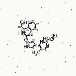 CCONc1ncc(C)c(-c2c[nH]c(OC(=O)NC(CO)c3ccccc3)c2)n1